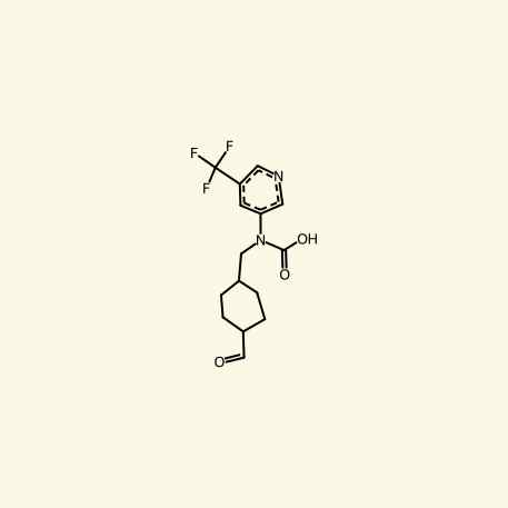 O=CC1CCC(CN(C(=O)O)c2cncc(C(F)(F)F)c2)CC1